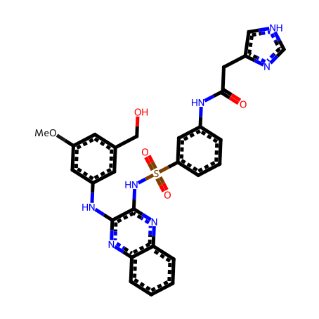 COc1cc(CO)cc(Nc2nc3ccccc3nc2NS(=O)(=O)c2cccc(NC(=O)Cc3c[nH]cn3)c2)c1